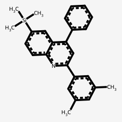 Cc1cc(C)cc(-c2cc(-c3ccccc3)c3cc([Si](C)(C)C)ccc3n2)c1